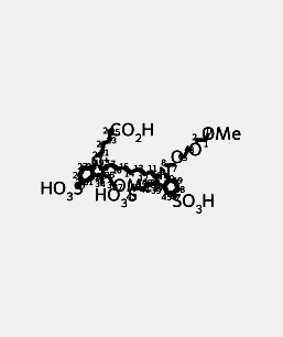 COCCOCCOCCN1/C(=C/C=C/C=C/C=C/C2=[N+](CCCCCC(=O)O)c3ccc(S(=O)(=O)O)cc3C2(C)CCOC)C(C)(CCCS(=O)(=O)O)c2cc(S(=O)(=O)O)ccc21